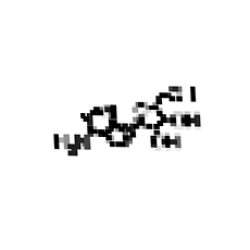 Nc1ncnc2c1ccn2[C@H]1OC(CO)C(O)C1O